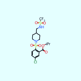 CC(C)OC(=O)c1cc(Cl)ccc1S(=O)(=O)N1CCC(CNS(=O)(=O)C(F)(F)F)CC1